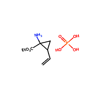 C=CC1CC1(N)C(=O)OCC.O=P(O)(O)O